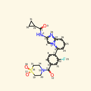 O=C(Nc1cn2c(-c3ccc(C(=O)N4CCS(=O)(=O)CC4)cc3F)cccc2n1)C1CC1